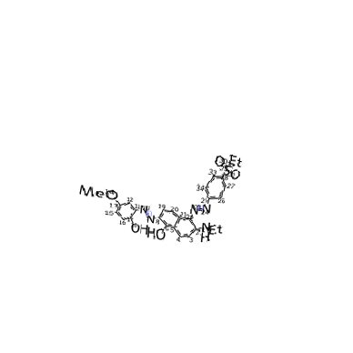 CCNc1ccc2c(O)c(/N=N/c3cc(OC)ccc3O)ccc2c1/N=N/c1ccc(S(=O)(=O)CC)cc1